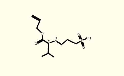 C=CCOC(=O)[C@@H](NCCCS(=O)(=O)O)C(C)C